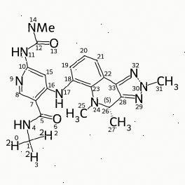 [2H]C([2H])([2H])NC(=O)c1cnc(NC(=O)NC)cc1Nc1cccc2c1N(C)[C@@H](C)c1nn(C)nc1-2